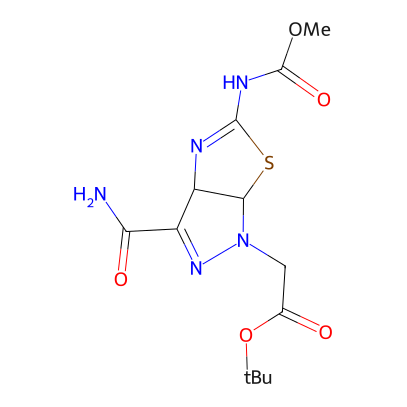 COC(=O)NC1=NC2C(C(N)=O)=NN(CC(=O)OC(C)(C)C)C2S1